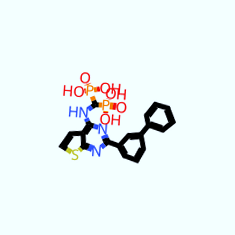 O=P(O)(O)C(Nc1nc(-c2cccc(-c3ccccc3)c2)nc2sccc12)P(=O)(O)O